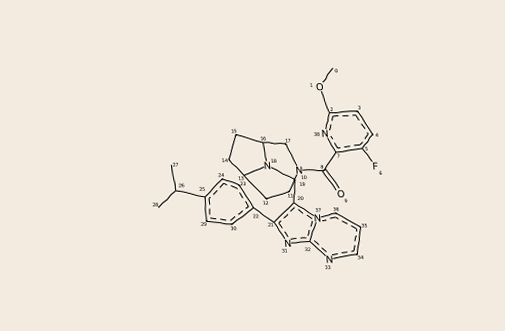 COc1ccc(F)c(C(=O)N2CCC3CCC(C2)N3Cc2c(-c3ccc(C(C)C)cc3)nc3ncccn23)n1